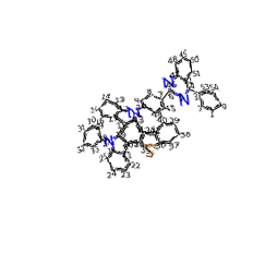 c1ccc(-c2nc(-c3ccc(-n4c5ccccc5c5c6c(c7ccccc7n6-c6ccccc6)c6sc7ccccc7c6c54)cc3)nc3ccccc23)cc1